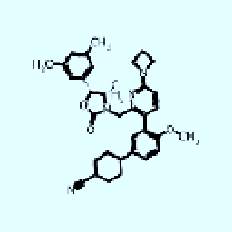 COc1ccc(C2CCC(C#N)CC2)cc1-c1ccc(N2CCC2)nc1CN1C(=O)O[C@H](c2cc(C)cc(C)c2)[C@@H]1C